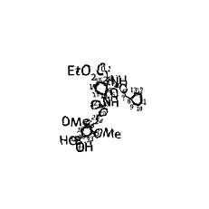 CCOC(=O)C[C@@H](NC(=O)OCc1ccccc1)c1cccc(NC(=O)OCCc2c(OC)cc(B(O)O)cc2OC)c1